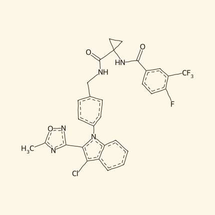 Cc1nc(-c2c(Cl)c3ccccc3n2-c2ccc(CNC(=O)C3(NC(=O)c4ccc(F)c(C(F)(F)F)c4)CC3)cc2)no1